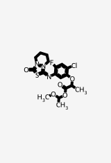 COC(C)OC(=O)C(C)Oc1cc(/N=c2/sc(=O)n3n2CCCC3)c(F)cc1Cl